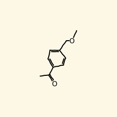 COCc1ccc(C(C)=O)cc1